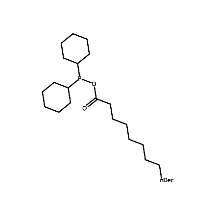 CCCCCCCCCCCCCCCCCC(=O)OP(C1CCCCC1)C1CCCCC1